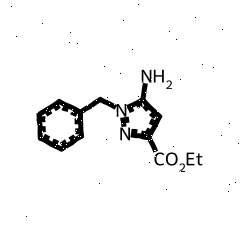 CCOC(=O)c1cc(N)n(Cc2ccccc2)n1